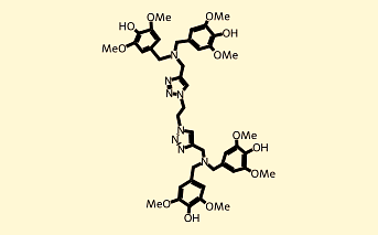 COc1cc(CN(Cc2cc(OC)c(O)c(OC)c2)Cc2cn(CCn3cc(CN(Cc4cc(OC)c(O)c(OC)c4)Cc4cc(OC)c(O)c(OC)c4)nn3)nn2)cc(OC)c1O